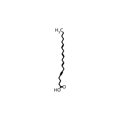 CCCCC/C=C/C/C=C/C/C=C/CC#CCCCC(=O)O